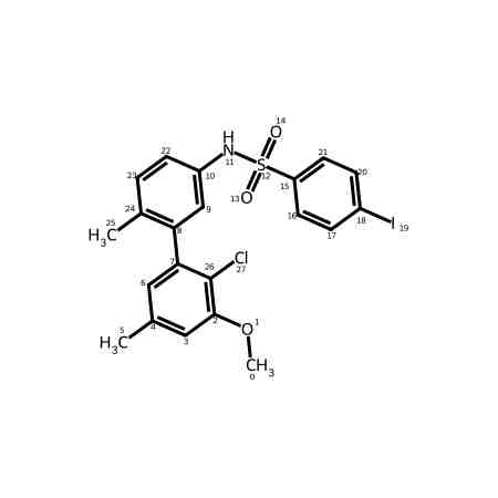 COc1cc(C)cc(-c2cc(NS(=O)(=O)c3ccc(I)cc3)ccc2C)c1Cl